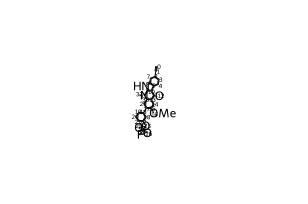 C#Cc1ccc2c(c1)[nH]c1c2c(=O)c2cc(OC)c(-c3cccc(OS(=O)(=O)F)c3)cc2n1C